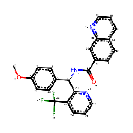 COc1ccc([C@H](NC(=O)c2ccc3cccnc3c2)c2ncccc2C(F)(F)F)cc1